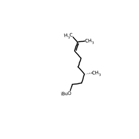 C[C](C)COCC[C@@H](C)CCC=C(C)C